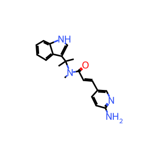 CN(C(=O)C=Cc1ccc(N)nc1)C(C)(C)c1c[nH]c2ccccc12